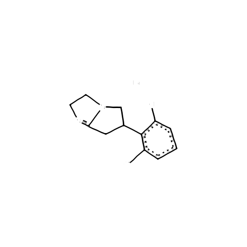 Br.Clc1cccc(Cl)c1C1CC2=NCCN2C1